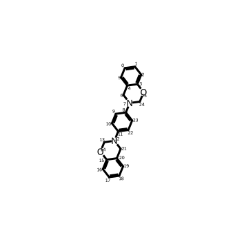 c1ccc2c(c1)CN(c1ccc(N3COc4ccccc4C3)cc1)CO2